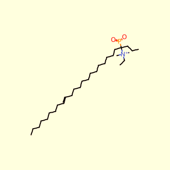 CCCCCCCCC=CCCCCCCCCCCCCC(CCC)(P(=O)=O)[N+](C)(C)CC